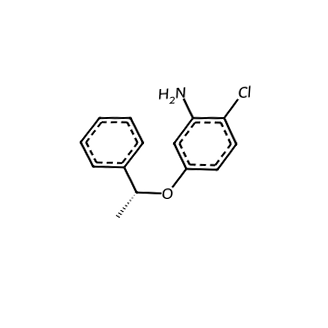 C[C@@H](Oc1ccc(Cl)c(N)c1)c1ccccc1